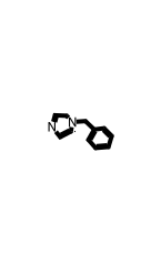 [C]1=CN=CCN1Cc1ccccc1